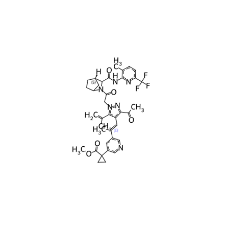 C=C(C)c1c(/C=C(\C)c2cncc(C3(C(=O)OC)CC3)c2)c(C(C)=O)nn1CC(=O)N1C2CC[C@@H](C2)C1C(=O)Nc1nc(C(F)(F)F)ccc1C